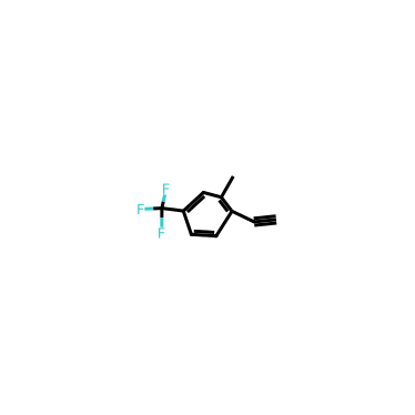 C#Cc1ccc(C(F)(F)F)cc1C